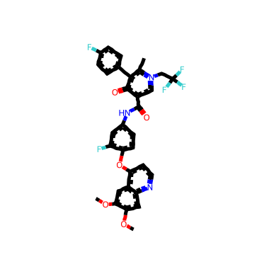 COc1cc2nccc(Oc3ccc(NC(=O)c4cn(CC(F)(F)F)c(C)c(-c5ccc(F)cc5)c4=O)cc3F)c2cc1OC